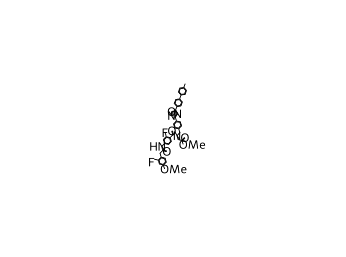 COC(=O)CN(Cc1ccc(-c2noc(-c3ccc(-c4ccc(C)cc4)cc3)n2)cc1)C(=O)c1ccc(NC(=O)Cc2ccc(OC)cc2CF)cc1F